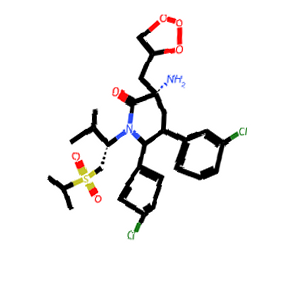 CC(C)[C@@H](CS(=O)(=O)C(C)C)N1C(=O)[C@@](N)(CC2COOO2)CC(c2cccc(Cl)c2)C1c1ccc(Cl)cc1